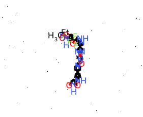 CCN(C)S(=O)(=O)Nc1ccc(F)c(C(=O)c2c[nH]c3ncc(-c4cnc(N5CCN(C(=O)CN6CCC(c7ccc(NC8CCC(=O)NC8=O)cc7)CC6)CC5)nc4)c(F)c23)c1F